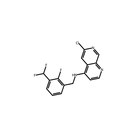 Fc1c(CNc2ccnc3cnc(Cl)cc23)cccc1C(F)F